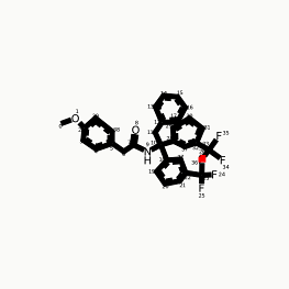 COc1ccc(CC(=O)NC(Cc2ccccc2)(c2cccc(C(F)(F)F)c2)c2cccc(C(F)(F)F)c2)cc1